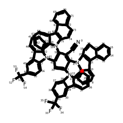 N#Cc1c(-n2c3ccccc3c3c4ccccc4ccc32)c(-n2c3ccccc3c3cc(C(F)(F)F)ccc32)cc(-n2c3ccccc3c3cc(C(F)(F)F)ccc32)c1-n1c2ccccc2c2c3ccccc3ccc21